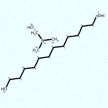 CCCCCCCCCCCCCCCCCCCCCCO.CN(C)C.Cl